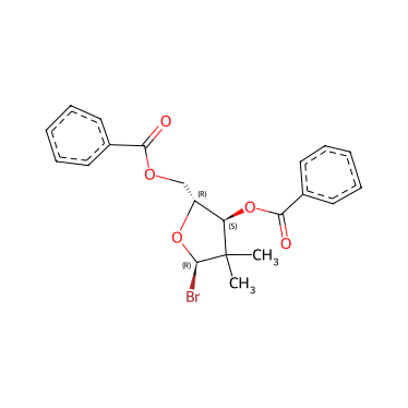 CC1(C)[C@H](OC(=O)c2ccccc2)[C@@H](COC(=O)c2ccccc2)O[C@@H]1Br